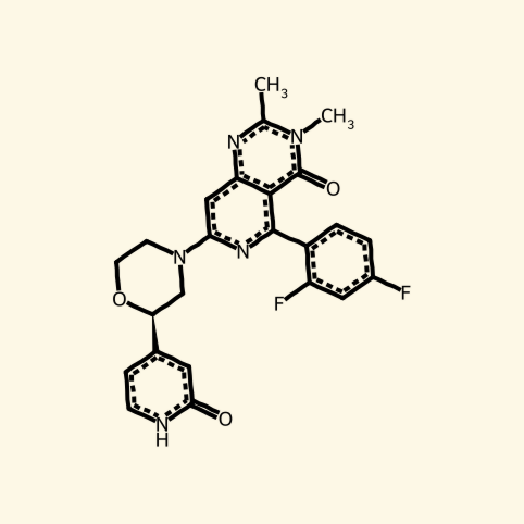 Cc1nc2cc(N3CCO[C@H](c4cc[nH]c(=O)c4)C3)nc(-c3ccc(F)cc3F)c2c(=O)n1C